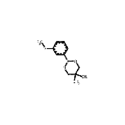 CC1(C)COB(c2cccc(SC(F)(F)F)c2)OC1